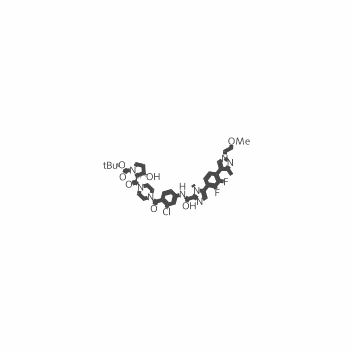 COCCn1cc(-c2ccc(-c3cnc(C(O)Nc4ccc(C(=O)N5CCN(C(=O)[C@@H]6[C@@H](O)CCN6C(=O)OC(C)(C)C)CC5)c(Cl)c4)n3C)c(F)c2F)c(C)n1